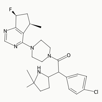 C[C@@H]1C[C@H](F)c2ncnc(N3CCN(C(=O)C(c4ccc(Cl)cc4)C4CCC(C)(C)N4)CC3)c21